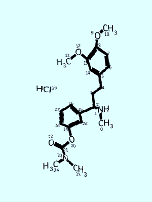 CNC(CCc1ccc(OC)c(OC)c1)c1cccc(OC(=O)N(C)C)c1.Cl